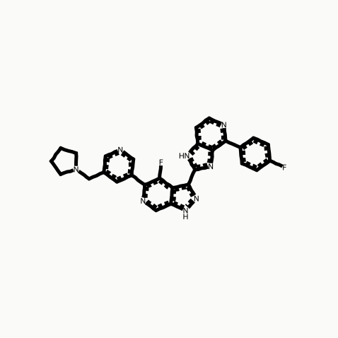 Fc1ccc(-c2nccc3[nH]c(-c4n[nH]c5cnc(-c6cncc(CN7CCCC7)c6)c(F)c45)nc23)cc1